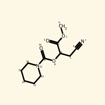 COC(=O)C(CC#N)OC(=O)N1CCCCC1